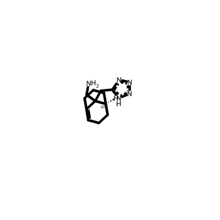 NCC1(Cc2nnn[nH]2)C2=CCC[C@@H]1CCC2